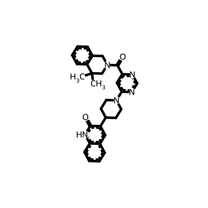 CC1(C)CN(C(=O)c2cc(N3CCC(c4cc5ccccc5[nH]c4=O)CC3)ncn2)Cc2ccccc21